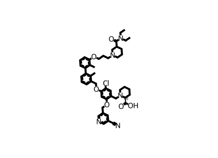 CCN(CC)C(=O)C1CCCN(CCCOc2cccc(-c3cccc(COc4cc(OCc5cncc(C#N)c5)c(CN5CCCC[C@H]5C(=O)O)cc4Cl)c3C)c2C)C1